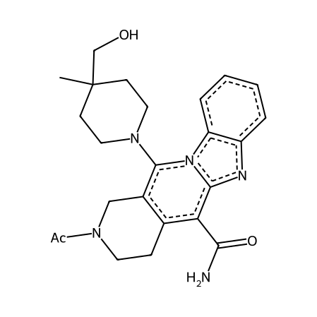 CC(=O)N1CCc2c(c(N3CCC(C)(CO)CC3)n3c(nc4ccccc43)c2C(N)=O)C1